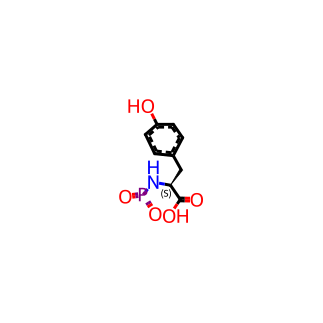 O=C(O)[C@H](Cc1ccc(O)cc1)NP(=O)=O